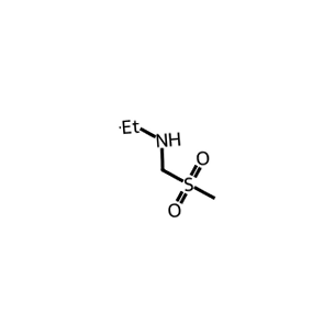 C[CH]NCS(C)(=O)=O